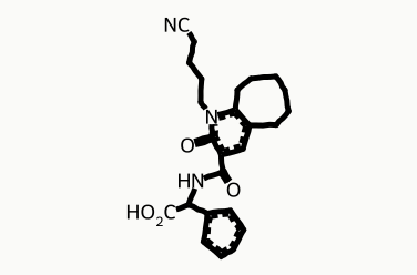 N#CCCCCn1c2c(cc(C(=O)NC(C(=O)O)c3ccccc3)c1=O)CCCCCC2